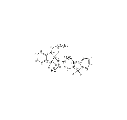 CCC[N+]1=C(C=C2C(=O)C(C3(C)N(CC(=O)OCC)c4ccccc4C3(C)C)=C2O)C(C)(C)c2ccccc21